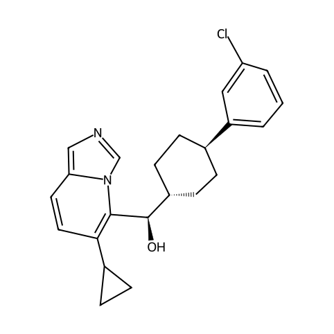 O[C@@H](c1c(C2CC2)ccc2cncn12)[C@H]1CC[C@H](c2cccc(Cl)c2)CC1